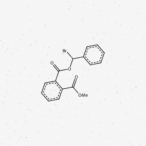 COC(=O)c1ccccc1C(=O)OC(Br)c1ccccc1